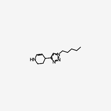 CCCCCn1cc(C2C=CNCC2)nn1